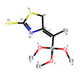 CCO[Si](OCC)(OCC)/C(CC)=C1/CSC(S)=N1